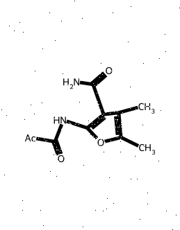 CC(=O)C(=O)Nc1oc(C)c(C)c1C(N)=O